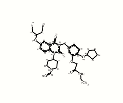 CCNC(=O)COc1cc(Cn2c(=O)c3cc(OC(CF)CF)ccc3n(C3CCN(C=O)CC3)c2=O)ccc1OC1CCCC1